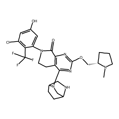 CN1CCC[C@H]1COc1nc2c(c(N3CC4CCC3CN4)n1)CCN(c1cc(O)cc(Cl)c1C(F)(F)F)C2=O